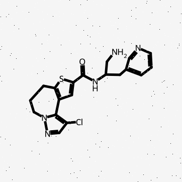 NCC(Cc1cccnc1)NC(=O)c1cc2c(s1)CCCn1ncc(Cl)c1-2